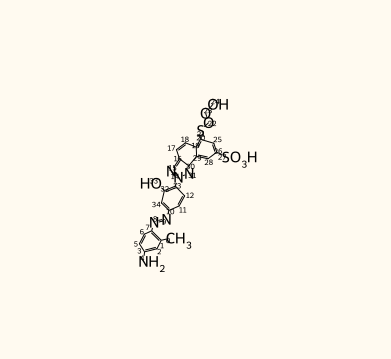 Cc1cc(N)ccc1N=Nc1ccc(-n2nc3ccc4c(SOOO)cc(S(=O)(=O)O)cc4c3n2)c(O)c1